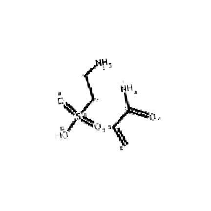 C=CC(N)=O.NCCS(=O)(=O)O